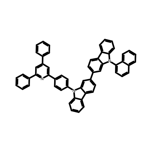 c1ccc(-c2cc(-c3ccccc3)nc(-c3ccc(-n4c5ccccc5c5ccc(-c6ccc7c8ccccc8n(-c8cccc9ccccc89)c7c6)cc54)cc3)c2)cc1